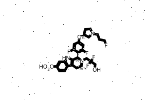 C[C@@H]1Cc2c([nH]c3cc(C(=O)O)ccc23)[C@@H](c2c(F)cc(O[C@H]3CCN(CCCF)C3)cc2F)N1CC(F)(F)CO